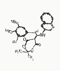 CC1(C)OC(=O)C(=C(Nc2cc(C(C)(C)C)c(O)c(C(C)(C)C)c2)Nc2cnc3ccccc3c2)C(=O)O1